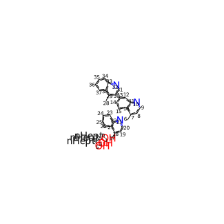 CCCCCCCO.CCCCCCCO.CCCCCCCO.Cc1ccnc2ccccc12.Cc1ccnc2ccccc12.Cc1ccnc2ccccc12